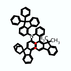 CC1(C)c2ccccc2-c2cccc(-c3ccccc3N(c3ccc4c(c3)C3(CC5CCC3C5)c3ccccc3-4)c3cccc4c3-c3ccccc3C4(c3ccccc3)c3ccccc3)c21